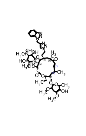 CC[C@H]1OC(=O)C[C@@H](O)[C@H](C)[C@@H](O[C@@H]2O[C@H](C)[C@@H](O)C(N(C)C)C2O)[C@@H](CCn2cc(Cn3nnc4ccccc43)nn2)C[C@@H](C)C(=O)/C=C/C(C)=C/[C@@H]1CO[C@@H]1OC(C)C(O)=C(OC)CC1OC